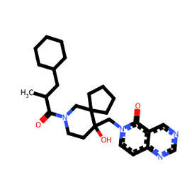 CC(CC1CCCCC1)C(=O)N1CCC(O)(Cn2ccc3ncncc3c2=O)C2(CCCC2)C1